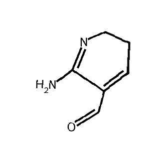 NC1=NCCC=C1C=O